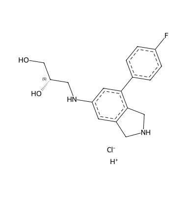 OC[C@@H](O)CNc1cc2c(c(-c3ccc(F)cc3)c1)CNC2.[Cl-].[H+]